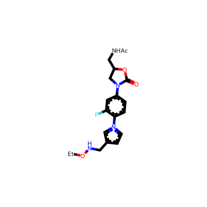 CCONCc1ccn(-c2ccc(N3CC(CNC(C)=O)OC3=O)cc2F)c1